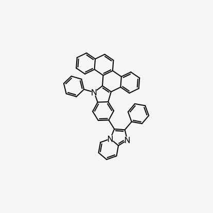 c1ccc(-c2nc3ccccn3c2-c2ccc3c(c2)c2c4ccccc4c4ccc5ccccc5c4c2n3-c2ccccc2)cc1